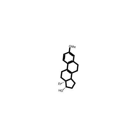 CC[C@]12CCC3=C(CCc4cc(OC)ccc43)C1CC[C@@H]2O